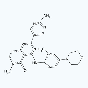 Cc1cc(N2CCOCC2)ccc1Nc1nc(-c2cnc(N)nc2)cc2ccn(C)c(=O)c12